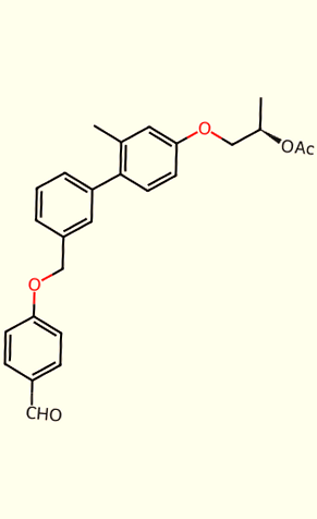 CC(=O)O[C@H](C)COc1ccc(-c2cccc(COc3ccc(C=O)cc3)c2)c(C)c1